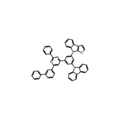 c1ccc(-c2cccc(-c3cc(-c4cc(-n5c6ccccc6c6ccccc65)cc(-n5c6ccccc6c6ccoc65)c4)nc(-c4ccccc4)n3)c2)cc1